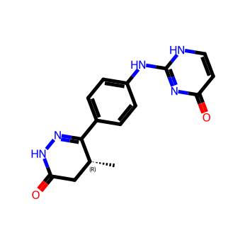 C[C@@H]1CC(=O)NN=C1c1ccc(Nc2nc(=O)cc[nH]2)cc1